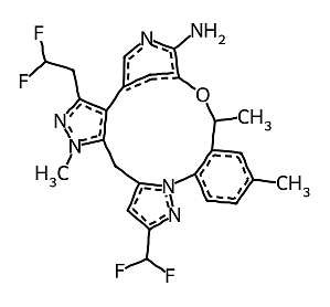 Cc1ccc2c(c1)C(C)Oc1cc(cnc1N)-c1c(CC(F)F)nn(C)c1Cc1cc(C(F)F)nn1-2